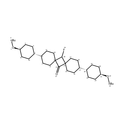 CCCCO[C@H]1CC[C@H](C2CCC3(CC2)C(=O)C2(CCC([C@H]4CC[C@H](OCCCC)CC4)CC2)C3F)CC1